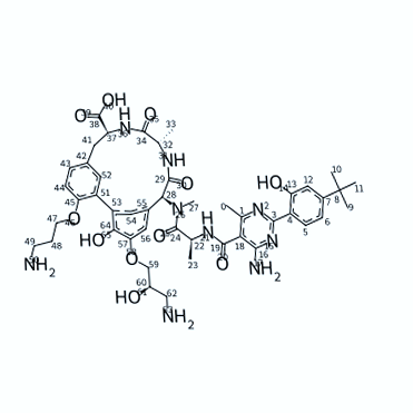 Cc1nc(-c2ccc(C(C)(C)C)cc2O)nc(N)c1C(=O)N[C@@H](C)C(=O)N(C)[C@@H]1C(=O)N[C@@H](C)C(=O)N[C@H](C(=O)O)Cc2ccc(OCCCN)c(c2)-c2cc1cc(OC[C@H](O)CN)c2O